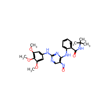 COc1cc(Nc2ncc(N=O)c(Nc3ccccc3C(=O)NC(C)(C)C)n2)cc(OC)c1OC